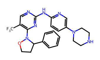 FC(F)(F)c1cnc(Nc2ccc(N3CCNCC3)cn2)nc1N1OCCC1c1ccccc1